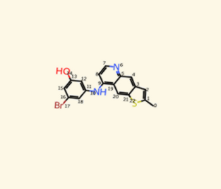 Cc1cc2cc3nccc(Nc4cc(O)cc(Br)c4)c3cc2s1